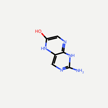 NC1=N[C]=C2NC(O)=CN=C2N1